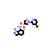 Cn1ncc2ccc(F)c(NS(=O)(=O)c3cnn(-c4cc(C(F)(F)F)ccn4)c3)c21